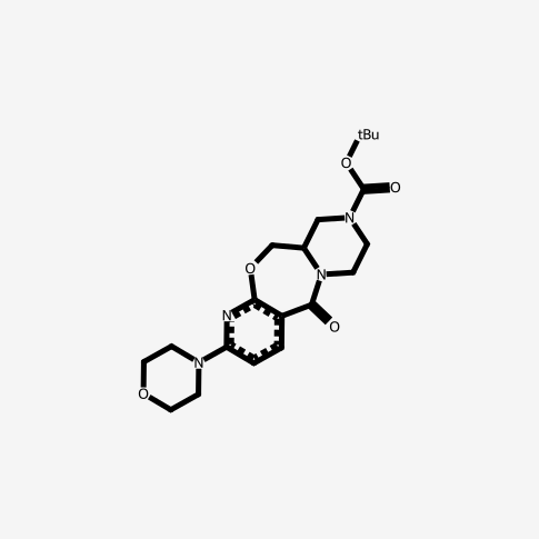 CC(C)(C)OC(=O)N1CCN2C(=O)c3ccc(N4CCOCC4)nc3OCC2C1